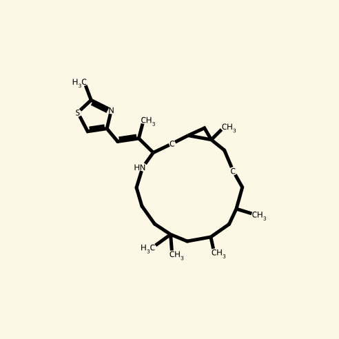 CC(=Cc1csc(C)n1)C1CC2CC2(C)CCCC(C)CC(C)CC(C)(C)CCCN1